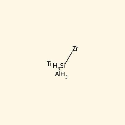 [AlH3].[SiH3][Zr].[Ti]